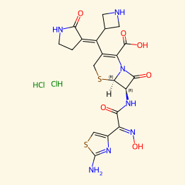 Cl.Cl.Nc1nc(C(=NO)C(=O)N[C@@H]2C(=O)N3C(C(=O)O)=C(C(=C4CCNC4=O)C4CNC4)CS[C@H]23)cs1